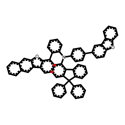 c1ccc(C2(c3ccccc3)c3ccccc3-c3c(N(c4ccc(-c5ccc6oc7ccccc7c6c5)cc4)c4ccccc4-c4cccc5c4oc4cc6ccccc6cc45)cccc32)cc1